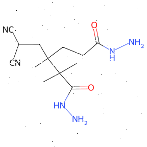 CC(CCC(=O)NN)(CC(C#N)C#N)C(C)(C)C(=O)NN